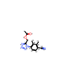 CC(=O)OCc1nnnn1-c1ccc(C#N)c(C)c1C